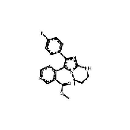 COC(=O)c1cnccc1-c1c(-c2ccc(F)cc2)nc2n1NCCN2